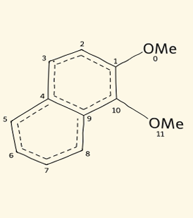 COc1c[c]c2ccccc2c1OC